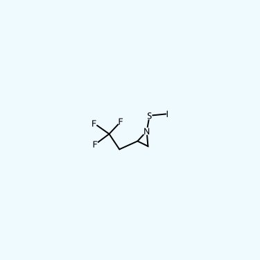 FC(F)(F)CC1CN1SI